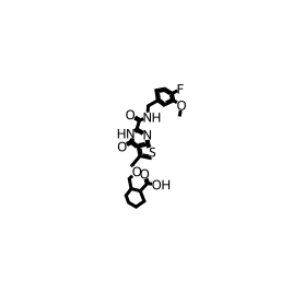 COc1cc(CNC(=O)c2nc3scc(COCC4CCCCC4C(=O)O)c3c(=O)[nH]2)ccc1F